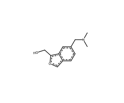 CN(C)Cc1ccc2coc(CO)c2c1